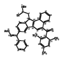 CCCCC(CC)Cn1c2ccc(/C(=N\OC(C)=O)c3ccccc3)cc2c2cc(C(=O)c3c(C)cc(C)cc3C)c3ccccc3c21